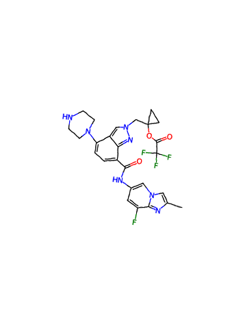 Cc1cn2cc(NC(=O)c3ccc(N4CCNCC4)c4cn(CC5(OC(=O)C(F)(F)F)CC5)nc34)cc(F)c2n1